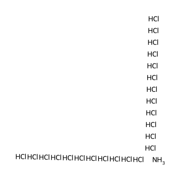 Cl.Cl.Cl.Cl.Cl.Cl.Cl.Cl.Cl.Cl.Cl.Cl.Cl.Cl.Cl.Cl.Cl.Cl.Cl.Cl.Cl.Cl.Cl.N